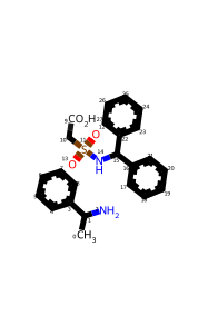 CC(N)c1ccccc1.O=C(O)CS(=O)(=O)NC(c1ccccc1)c1ccccc1